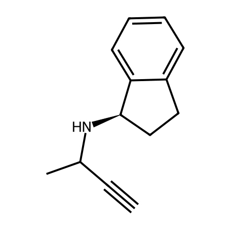 C#CC(C)N[C@@H]1CCc2ccccc21